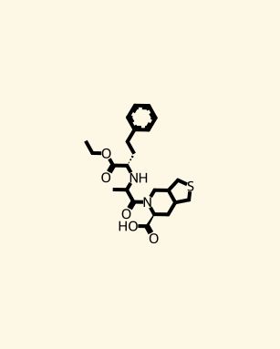 CCOC(=O)[C@H](CCc1ccccc1)NC(C)C(=O)N1CC2CSCC2C[C@H]1C(=O)O